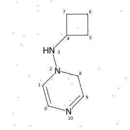 C1=CN(NC2CCC2)CC=N1